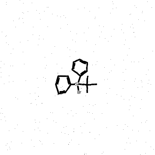 CC(C)(C)[Si](Br)(c1ccccc1)c1ccccc1